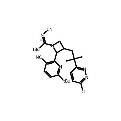 CC(C)(C)/C(=N/C#N)N1CC(CC(C)(C)c2ccc(Cl)nn2)C1c1nc(C(C)(C)C)ccc1C#N